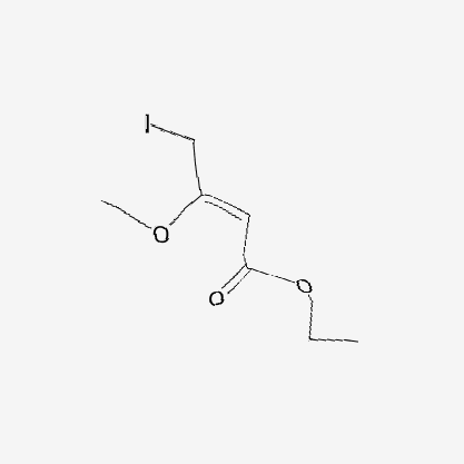 CCOC(=O)C=C(CI)OC